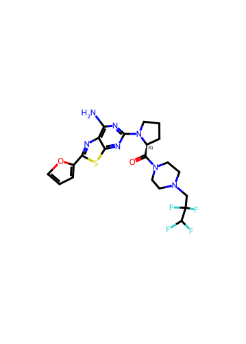 Nc1nc(N2CCC[C@H]2C(=O)N2CCN(CC(F)(F)C(F)F)CC2)nc2sc(-c3ccco3)nc12